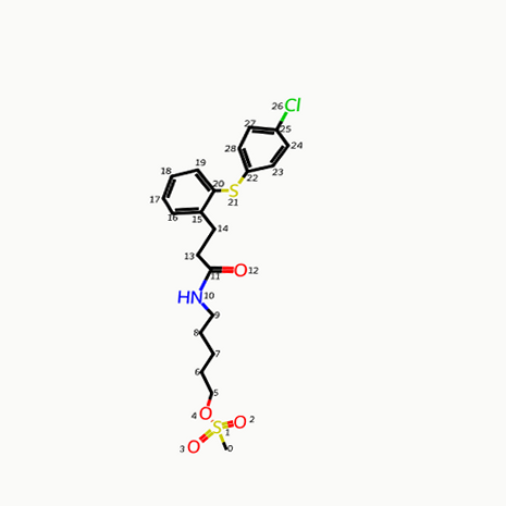 CS(=O)(=O)OCCCCCNC(=O)CCc1ccccc1Sc1ccc(Cl)cc1